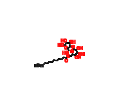 CCCCCCCCCCCCCCCCCCCC(=O)OC[C@H]1O[C@@H](O[C@H]2[C@H](O)[C@H](O)C(O)O[C@@H]2CO)[C@@H](O)[C@@H](O)[C@@H]1O